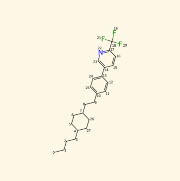 CCCCC1CCC(CCc2ccc(-c3ccc(C(F)(F)F)nc3)cc2)CC1